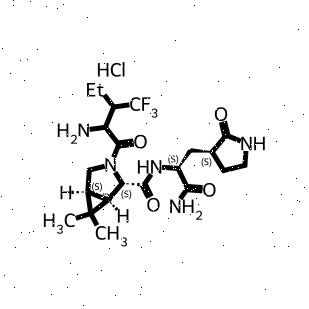 CCC(C(N)C(=O)N1C[C@H]2[C@@H]([C@H]1C(=O)N[C@@H](C[C@@H]1CCNC1=O)C(N)=O)C2(C)C)C(F)(F)F.Cl